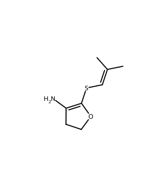 CC(C)=CSC1=C(N)CCO1